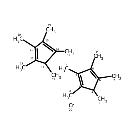 CC1=C(C)C(C)C(C)=C1C.CC1=C(C)C(C)C(C)=C1C.[Cr]